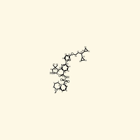 CN1CCC[n+]2c1cccc2S(=O)(=O)NC(=O)c1ccc(-n2ccc(OCCC(C3CC3)C3CC3)n2)nc1N1CNCC1(C)C